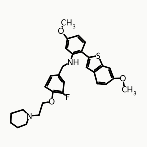 COc1ccc(-c2cc3ccc(OC)cc3s2)c(NCc2ccc(OCCN3CCCCC3)c(F)c2)c1